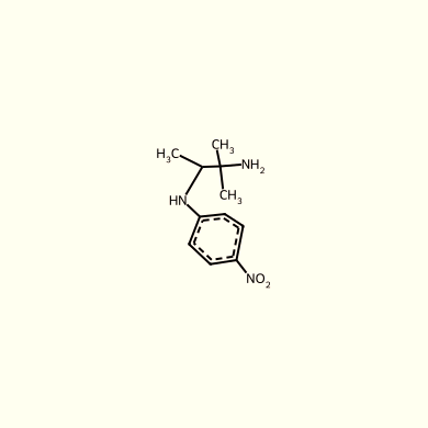 CC(Nc1ccc([N+](=O)[O-])cc1)C(C)(C)N